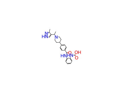 Cc1n[nH]cc1C(C)N1CCC(c2ccc(C(=O)Nc3ccccc3NC(=O)O)cc2)CC1